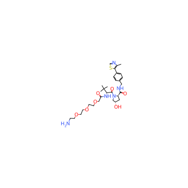 Cc1ncsc1-c1ccc(CNC(=O)[C@H]2C[C@H](O)CN2C(=O)[C@H](NC(=O)COCCOCCOCCN)C(C)(C)C)cc1